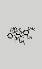 CC(=O)Oc1cc(O)cc(N(C(=O)O)c2c(N)n(-c3ccccc3)c(=O)n(C)c2=O)c1